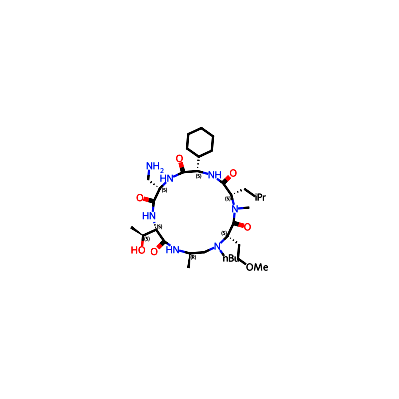 CCCCN1C[C@@H](C)NC(=O)[C@H]([C@H](C)O)NC(=O)[C@H](CN)NC(=O)[C@H](C2CCCCC2)NC(=O)[C@H](CC(C)C)N(C)C(=O)[C@@H]1CCOC